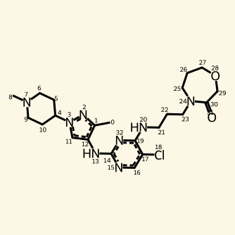 Cc1nn(C2CCN(C)CC2)cc1Nc1ncc(Cl)c(NCCCN2CCCOCC2=O)n1